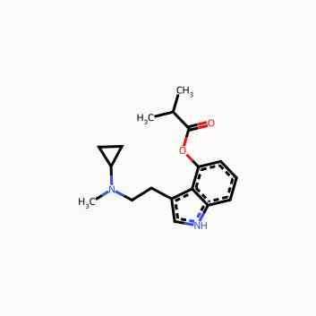 CC(C)C(=O)Oc1cccc2[nH]cc(CCN(C)C3CC3)c12